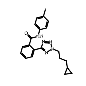 O=C(Nc1ccc(I)cc1)c1ccccc1-c1nnn(CCCC2CC2)n1